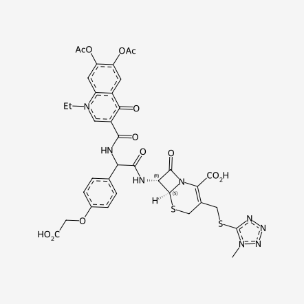 CCn1cc(C(=O)NC(C(=O)N[C@@H]2C(=O)N3C(C(=O)O)=C(CSc4nnnn4C)CS[C@@H]23)c2ccc(OCC(=O)O)cc2)c(=O)c2cc(OC(C)=O)c(OC(C)=O)cc21